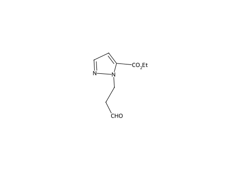 CCOC(=O)c1ccnn1CCC=O